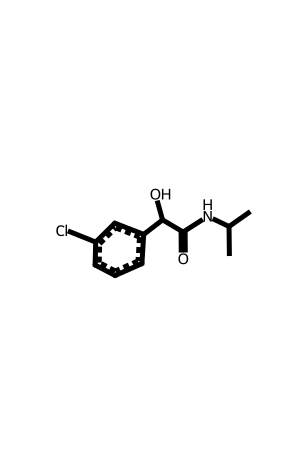 CC(C)NC(=O)C(O)c1cccc(Cl)c1